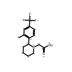 Cc1cc(C(F)(F)F)ccc1C1CCCCN1CC(=O)O